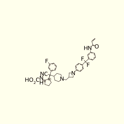 C=CC(=O)Nc1cccc(C(F)(F)c2ccc(N3CC(CN4CCC(C(C#N)(c5cccc(F)c5)[C@H]5CCC[C@@H]5NC(=O)O)CC4)C3)cc2)c1